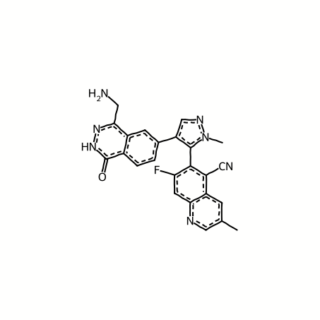 Cc1cnc2cc(F)c(-c3c(-c4ccc5c(=O)[nH]nc(CN)c5c4)cnn3C)c(C#N)c2c1